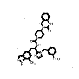 Cc1cc(CC(NC(=O)N2CCC(N3Cc4ccccc4NC3=O)CC2)c2nccn2Cc2cccc(C(=O)O)c2)cc2cn[nH]c12